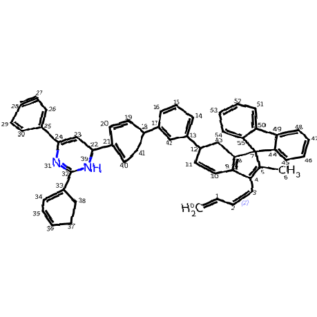 C=C/C=C\C1=C(C)C2(C3=C1C=CC(c1cccc(C4C=CC(C5C=C(c6cc#ccc6)N=C(C6=CC=CCC6)N5)=CC4)c1)C3)c1ccccc1-c1ccccc12